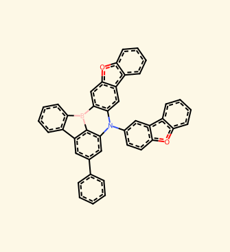 c1ccc(-c2cc3c4c(c2)N(c2ccc5oc6ccccc6c5c2)c2cc5c(cc2B4c2ccccc2-3)oc2ccccc25)cc1